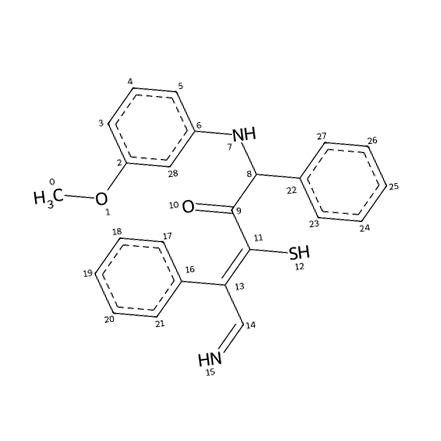 COc1cccc(NC(C(=O)/C(S)=C(/C=N)c2ccccc2)c2ccccc2)c1